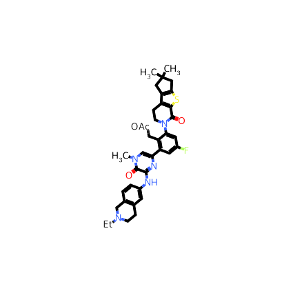 CCN1CCc2cc(Nc3nc(-c4cc(F)cc(N5CCc6c(sc7c6CC(C)(C)C7)C5=O)c4COC(C)=O)cn(C)c3=O)ccc2C1